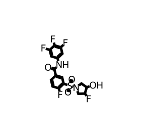 O=C(Nc1cc(F)c(F)c(F)c1)c1ccc(F)c(S(=O)(=O)N2CC(O)C(F)C2)c1